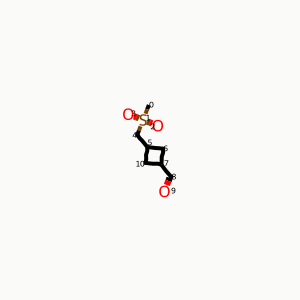 CS(=O)(=O)CC1CC(C=O)C1